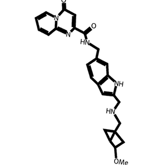 COC1CC2(CNCc3cc4ccc(CNC(=O)c5cc(=O)n6ccccc6n5)cc4[nH]3)CC12